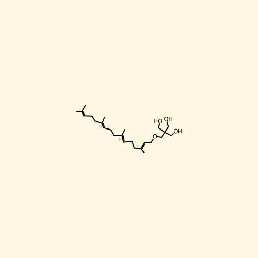 CC(C)=CCC/C(C)=C/CC/C(C)=C/CCC(C)=CCOCC(CO)(CO)CO